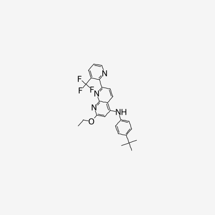 CCOc1cc(Nc2ccc(C(C)(C)C)cc2)c2ccc(-c3ncccc3C(F)(F)F)nc2n1